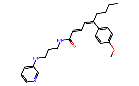 CCCCC(=CC=CC(=O)NCCCNc1cccnc1)c1ccc(OC)cc1